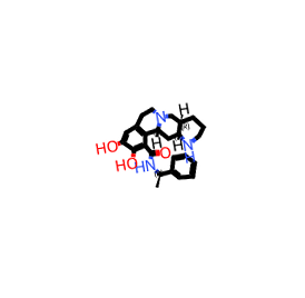 C[C@@H](NC(=O)c1c(O)c(O)cc2c1[C@H]1C[C@@H]3NCCC[C@@H]3CN1CC2)c1ccccc1